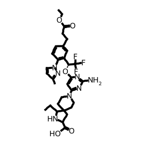 CCOC(=O)CCc1ccc(-n2ccc(C)n2)c([C@@H](Oc2cc(N3CCC4(CC3)CC(C(=O)O)NC4CC)nc(N)n2)C(F)(F)F)c1